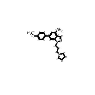 COc1ccc(-c2cc(N)c3cnn(CCCN4CCCC4)c3c2)cc1